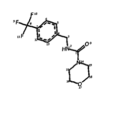 O=C(NCc1ccc(C(F)(F)F)cc1)N1CCOCC1